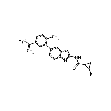 C=C(C)c1ccc(C)c(-c2ccc3nc(NC(=O)C4CC4F)sc3c2)c1